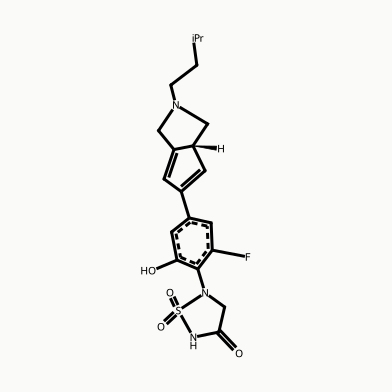 CC(C)CCN1CC2=CC(c3cc(O)c(N4CC(=O)NS4(=O)=O)c(F)c3)=C[C@H]2C1